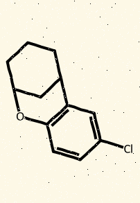 Clc1ccc2c(c1)C1CCCC(C1)O2